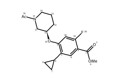 COC(=O)c1cc(C2CC2)c(O[C@@H]2CCCN(C(C)=O)C2)cc1F